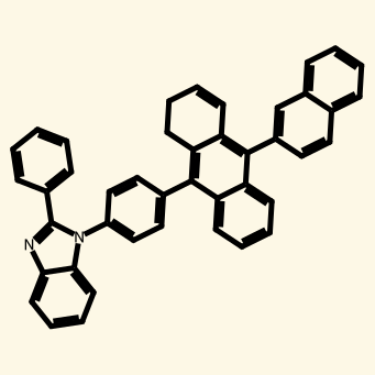 C1=Cc2c(c(-c3ccc(-n4c(-c5ccccc5)nc5ccccc54)cc3)c3ccccc3c2-c2ccc3ccccc3c2)CC1